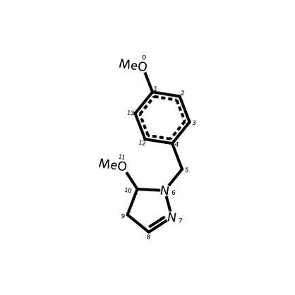 COc1ccc(CN2N=CCC2OC)cc1